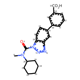 CN(C(=O)n1nnc2cc(-c3cccc(C(=O)O)c3)ccc21)C1CCCCC1